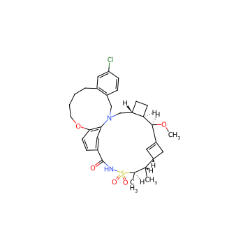 CO[C@H]1C2=C[C@H](C2)[C@H](C)[C@@H](C)S(=O)(=O)NC(=O)c2ccc3c(c2)N(Cc2ccc(Cl)cc2CCCCO3)C[C@@H]2CC[C@H]21